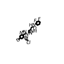 COc1cc(OCCCl)c2c(Nc3cc(CC(=O)Nc4cccc(F)c4F)[nH]n3)ncnc2c1